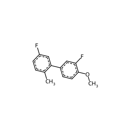 COc1ccc(-c2cc(F)ccc2C)cc1F